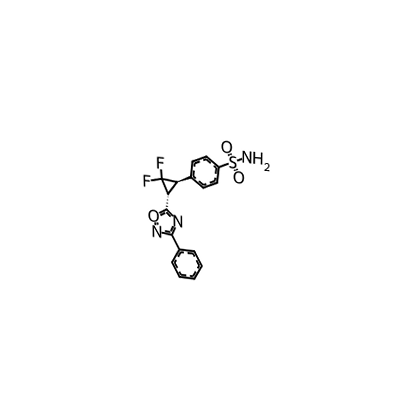 NS(=O)(=O)c1ccc([C@H]2[C@H](c3nc(-c4ccccc4)no3)C2(F)F)cc1